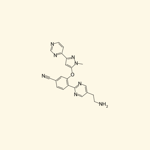 Cn1nc(-c2ccncn2)cc1Oc1cc(C#N)ccc1-c1ncc(CCN)cn1